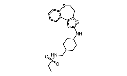 CCS(=O)(=O)NCC1CCC(Nc2nc3c(s2)CCSc2ccccc2-3)CC1